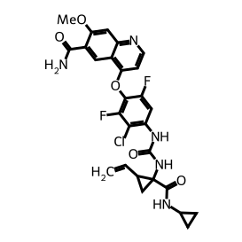 C=CC1CC1(NC(=O)Nc1cc(F)c(Oc2ccnc3cc(OC)c(C(N)=O)cc23)c(F)c1Cl)C(=O)NC1CC1